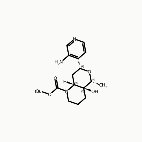 C[C@H]1O[C@@H](c2ccncc2N)C[C@H]2N(C(=O)OC(C)(C)C)CCC[C@@]12O